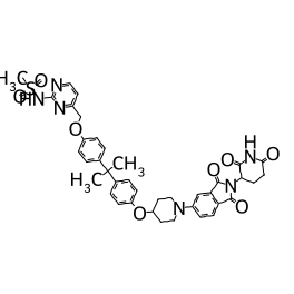 CC(C)(c1ccc(OCc2ccnc(NS(C)(=O)=O)n2)cc1)c1ccc(OC2CCN(c3ccc4c(c3)C(=O)N(C3CCC(=O)NC3=O)C4=O)CC2)cc1